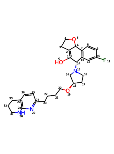 OC1=C2CCOC2c2ccc(F)cc2[C@@H]1N1CC[C@@H](OCCCCc2ccc3c(n2)NCCC3)C1